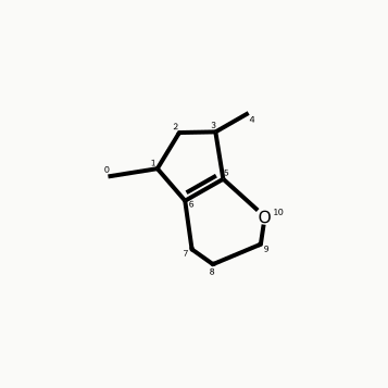 CC1CC(C)C2=C1CCCO2